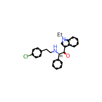 CCn1cc(C(=O)[C@H](NCCc2ccc(Cl)cc2)c2ccccc2)c2ccccc21